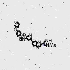 CN/C=C(\C=N)c1cnc2ccc(-c3cncc(NS(=O)(=O)c4ccc(Oc5cccnc5)cc4)c3)cc2n1